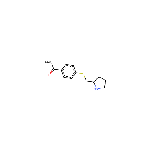 COC(=O)c1ccc(SCC2CCCN2)cc1